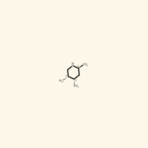 C[C@@H]1CN[C@@H](C)C[C@@H]1C